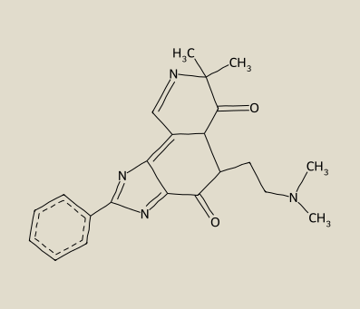 CN(C)CCC1C(=O)C2=NC(c3ccccc3)=NC2=C2C=NC(C)(C)C(=O)C21